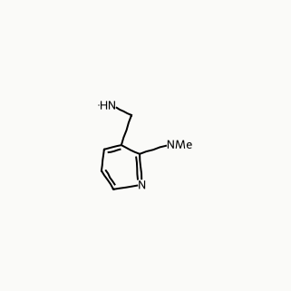 CNc1ncccc1C[NH]